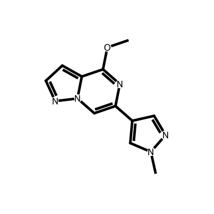 COc1nc(-c2cnn(C)c2)cn2nccc12